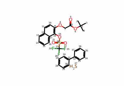 CC(C)(C)OC(=O)COc1ccc2ccccc2c1OS(=O)(=O)C(F)(F)F.S.c1ccc(-c2ccccc2)cc1